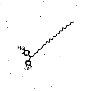 CCCCCCCCCCCCCCCCCCCCCCCC(c1ccc(O)c(C)c1)c1ccc(O)c(C)c1